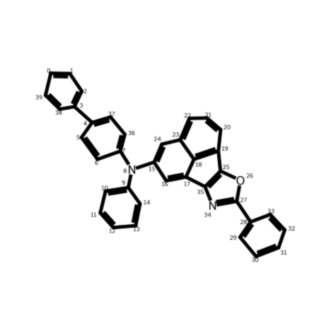 c1ccc(-c2ccc(N(c3ccccc3)c3cc4c5c(cccc5c3)-c3oc(-c5ccccc5)nc3-4)cc2)cc1